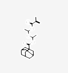 C=C(C)C(=O)OC(C)OC(C)OC(=O)C12CC3CC(CC(C3)C1)C2